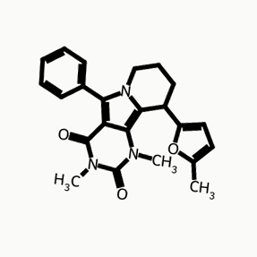 Cc1ccc(C2CCCn3c(-c4ccccc4)c4c(=O)n(C)c(=O)n(C)c4c32)o1